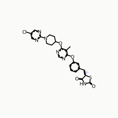 Cc1c(Oc2cccc(/C=C3/SC(=O)NC3=O)c2)ncnc1OC1CCN(c2ncc(Cl)cn2)CC1